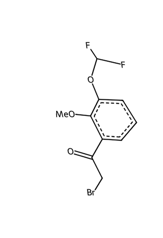 COc1c(OC(F)F)cccc1C(=O)CBr